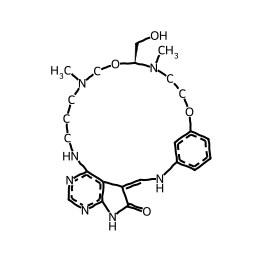 CN1CCCNc2ncnc3c2/C(=C/Nc2cccc(c2)OCCN(C)[C@H](CO)OC1)C(=O)N3